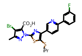 Cc1nn(-c2nc(-c3ccc(-c4cccc(F)c4)nc3)c(SC(C)C)s2)c(C(=O)O)c1Br